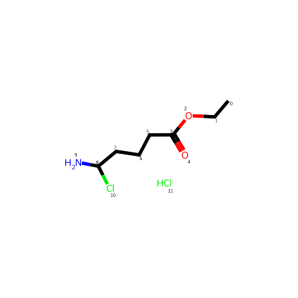 CCOC(=O)CCCC(N)Cl.Cl